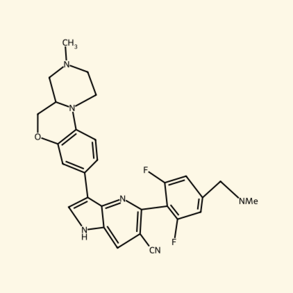 CNCc1cc(F)c(-c2nc3c(-c4ccc5c(c4)OCC4CN(C)CCN54)c[nH]c3cc2C#N)c(F)c1